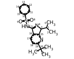 CC(C)C1N=C(NS(=O)(=O)c2ccccc2)c2ccc(C(C)(C)C)nc21